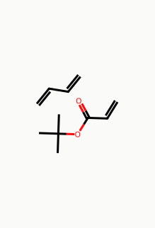 C=CC(=O)OC(C)(C)C.C=CC=C